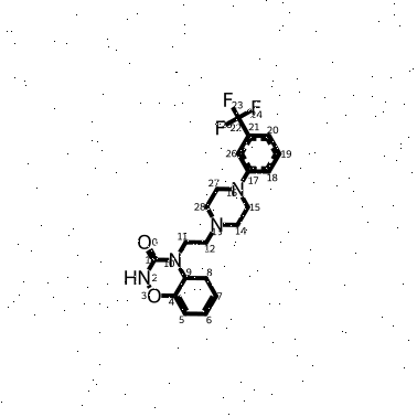 O=C1NOC2=CC=CCC2N1CCN1CCN(c2cccc(C(F)(F)F)c2)CC1